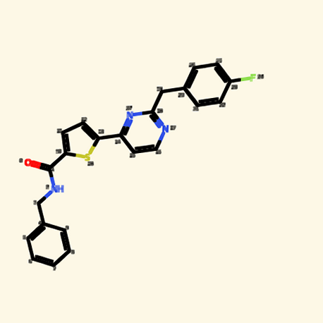 O=C(NCc1ccccc1)c1ccc(-c2ccnc(Cc3ccc(F)cc3)n2)s1